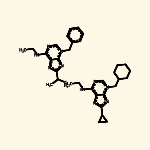 CCNc1ncn(CC2CCCCC2)c2nc(C3CC3)nc1-2.CCNc1ncn(Cc2ccccc2)c2nc(C(C)C)nc1-2